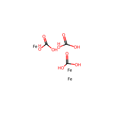 O=C(O)O.O=C(O)O.O=C(O)O.[Fe].[Fe].[Fe]